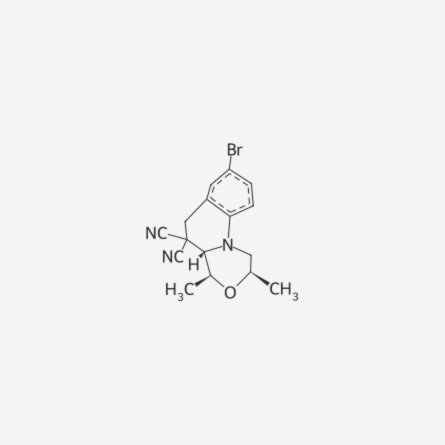 C[C@@H]1CN2c3ccc(Br)cc3CC(C#N)(C#N)[C@H]2[C@H](C)O1